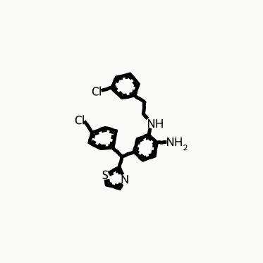 Nc1ccc(C(c2ccc(Cl)cc2)c2nccs2)cc1NCCc1cccc(Cl)c1